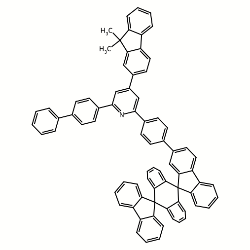 CC1(C)c2ccccc2-c2ccc(-c3cc(-c4ccc(-c5ccccc5)cc4)nc(-c4ccc(-c5ccc6c(c5)C5(c7ccccc7-6)c6ccccc6C6(c7ccccc7-c7ccccc76)c6ccccc65)cc4)c3)cc21